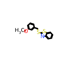 COc1cccc(CSc2nc3ccccc3s2)c1